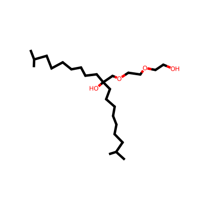 CC(C)CCCCCCCC(O)(CCCCCCCC(C)C)COCCOCCO